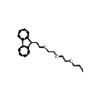 ICCOCCOCCOCCC1c2ccccc2-c2ccccc21